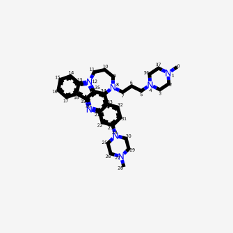 CN1CCN(CCCN2CCCn3c4ccccc4c4nc5cc(N6CCN(C)CC6)ccc5c2c43)CC1